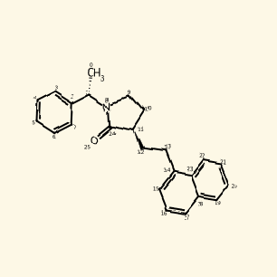 C[C@@H](c1ccccc1)N1CC[C@@H](CCc2cccc3ccccc23)C1=O